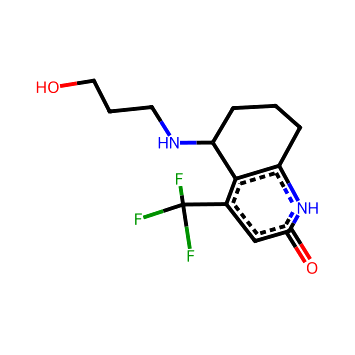 O=c1cc(C(F)(F)F)c2c([nH]1)CCCC2NCCCO